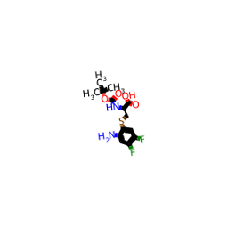 CC(C)(C)OC(=O)N[C@H](CSc1cc(F)c(F)cc1N)C(=O)O